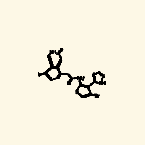 C=C/C=c1/c(CC(=O)Nc2scc(Br)c2-c2ncn[nH]2)ccc(F)/c1=C/N